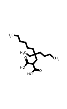 CCCCCCC(CC)(CCCC)CC(C(=O)O)C(=O)O